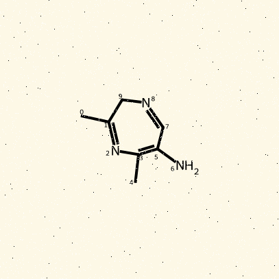 CC1=NC(C)=C(N)C=NC1